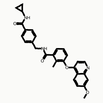 COc1ccc2c(Oc3cccc(C(=O)NCc4ccc(C(=O)NC5CC5)cc4)c3C)ccnc2c1